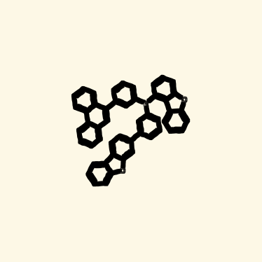 c1cc(-c2ccc3c(c2)oc2ccccc23)cc(N(c2cccc(-c3cc4ccccc4c4ccccc34)c2)c2cccc3oc4ccccc4c23)c1